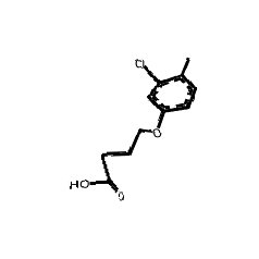 Cc1ccc(OCCCC(=O)O)cc1Cl